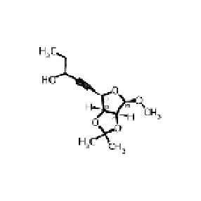 CCC(O)C#C[C@H]1O[C@@H](OC)[C@@H]2OC(C)(C)O[C@@H]21